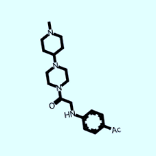 CC(=O)c1ccc(NCC(=O)N2CCN(C3CCN(C)CC3)CC2)cc1